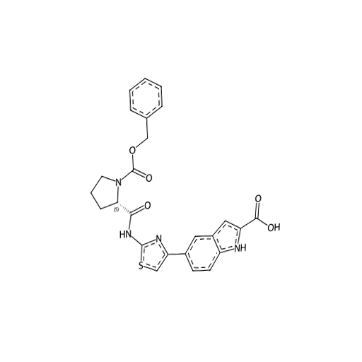 O=C(O)c1cc2cc(-c3csc(NC(=O)[C@@H]4CCCN4C(=O)OCc4ccccc4)n3)ccc2[nH]1